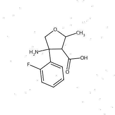 CC1OCC(N)(c2ccccc2F)C1C(=O)O